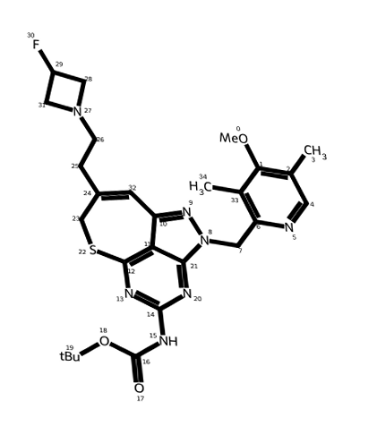 COc1c(C)cnc(Cn2nc3c4c(nc(NC(=O)OC(C)(C)C)nc42)SCC(CCN2CC(F)C2)=C3)c1C